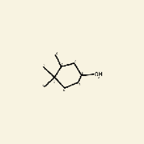 CC1CC(O)CCC1(C)C